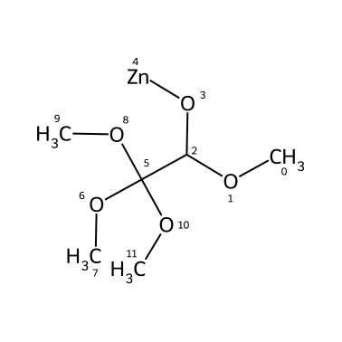 COC([O][Zn])C(OC)(OC)OC